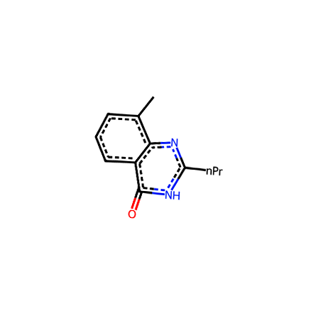 CCCc1nc2c(C)cccc2c(=O)[nH]1